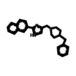 c1ccc(CC2CCN(Cc3c[nH]c(-c4ccc5ccccc5c4)n3)CC2)cc1